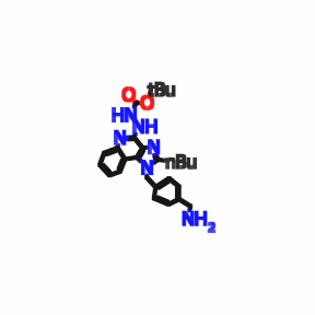 CCCCc1nc2c(NNC(=O)OC(C)(C)C)nc3ccccc3c2n1Cc1ccc(CN)cc1